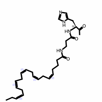 CC/C=C\C/C=C\C/C=C\C/C=C\C/C=C\CCCC(=O)NCCC(=O)N[C@@H](Cc1cnc[nH]1)C(C)=O